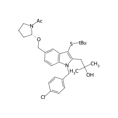 CC(=O)N1CCC[C@H]1OCc1ccc2c(c1)c(SC(C)(C)C)c(CC(C)(C)O)n2Cc1ccc(Cl)cc1